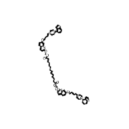 O=C(CCCCCCCCCCCCC(=O)OCOc1ccc2ccc(OCCCCN3CCN(c4cccc5sccc45)CC3)cc2n1)OCOc1ccc2ccc(OCCCCN3CCN(c4cccc5sccc45)CC3)cc2n1